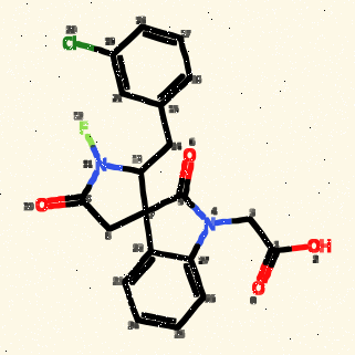 O=C(O)CN1C(=O)C2(CC(=O)N(F)C2Cc2cccc(Cl)c2)c2ccccc21